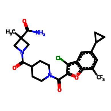 CC1(C(N)=O)CN(C(=O)C2CCN(C(=O)c3oc4c(C(F)(F)F)cc(C5CC5)cc4c3Cl)CC2)C1